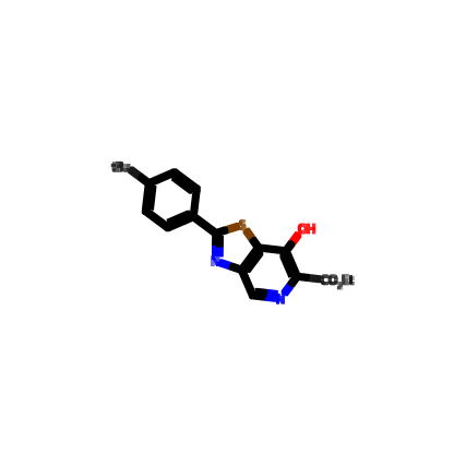 CCOC(=O)c1ncc2nc(-c3ccc(C(C)(C)C)cc3)sc2c1O